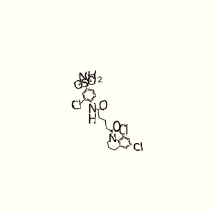 NS(=O)(=O)c1ccc(NC(=O)CCCC(=O)N2CCCc3cc(Cl)cc(Cl)c32)c(Cl)c1